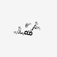 CCN(CC)CCOc1ccc2nc3c(OCCN(CC)CC)cccc3cc2c1.[Cl-].[Cl-].[Cu+2]